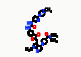 CN1CCN(c2ccc(NC(=O)Nc3ccc4c(c3)C(=O)C(=Cc3cn(C)c5nccc(N6CCC(C(=O)N(C)C)CC6)c35)O4)cn2)CC1